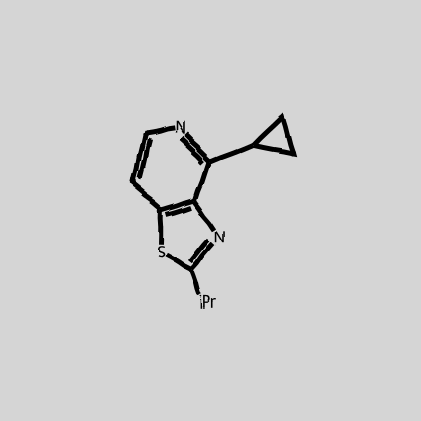 CC(C)c1nc2c(C3CC3)nccc2s1